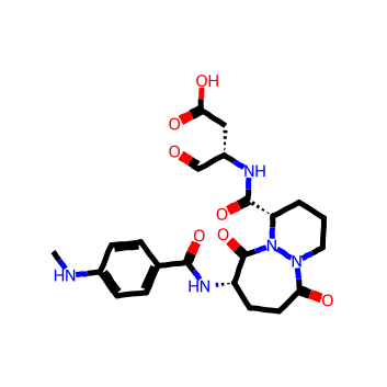 CNc1ccc(C(=O)N[C@H]2CCC(=O)N3CCC[C@@H](C(=O)N[C@H](C=O)CC(=O)O)N3C2=O)cc1